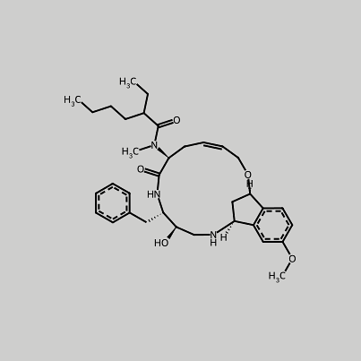 CCCCC(CC)C(=O)N(C)[C@H]1CC=CCO[C@@H]2C[C@H](NC[C@@H](O)[C@H](Cc3ccccc3)NC1=O)c1cc(OC)ccc12